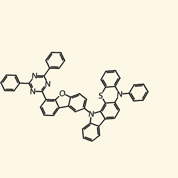 c1ccc(-c2nc(-c3ccccc3)nc(-c3cccc4c3oc3ccc(-n5c6ccccc6c6ccc7c(c65)Sc5ccccc5N7c5ccccc5)cc34)n2)cc1